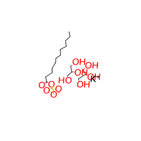 CCCCCCCCCCCC(=O)OS(=O)(=O)[O-].OCC(O)CO.OCC(O)CO.[K+]